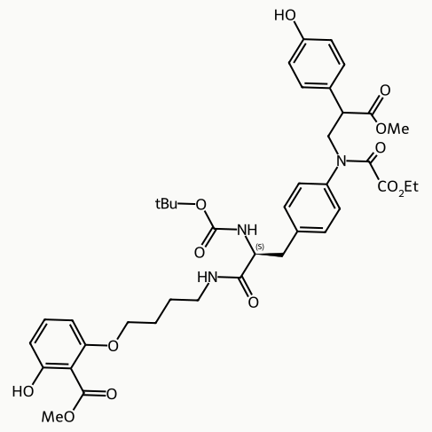 CCOC(=O)C(=O)N(CC(C(=O)OC)c1ccc(O)cc1)c1ccc(C[C@H](NC(=O)OC(C)(C)C)C(=O)NCCCCOc2cccc(O)c2C(=O)OC)cc1